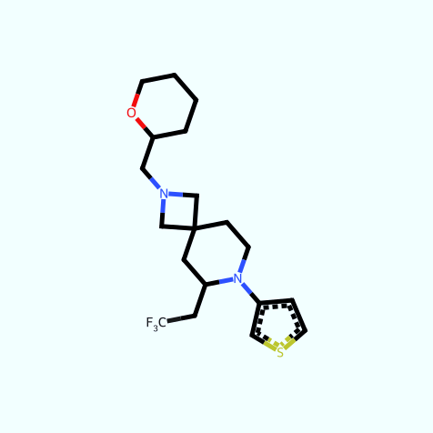 FC(F)(F)CC1CC2(CCN1c1ccsc1)CN(CC1CCCCO1)C2